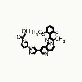 COc1cccc(F)c1-c1nc2c3cc(-c4cnn([C@H]5CCN(C(=O)CO)C5)c4)cnc3ccn2c1C